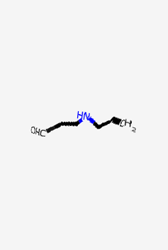 C=CCNCCC=O